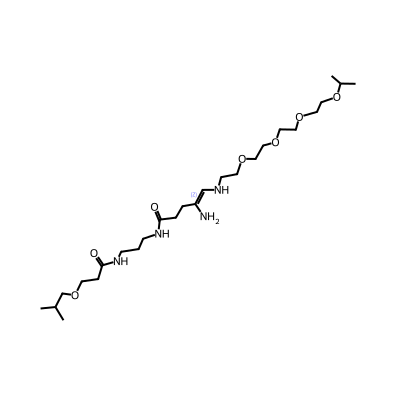 CC(C)COCCC(=O)NCCCNC(=O)CC/C(N)=C/NCCOCCOCCOCCOC(C)C